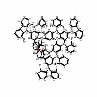 Fc1cccc(F)c1N1c2cc3c(cc2B2c4sc5ccccc5c4Oc4cc(-n5c6c(F)cccc6c6cccc(F)c65)cc1c42)B1c2cc4c(cc2N(c2c(F)cccc2F)c2cc(-n5c6ccccc6c6ccccc65)cc(c21)N3c1c(F)cccc1F)N(c1c(F)cccc1F)c1cc(-n2c3c(F)cccc3c3cccc(F)c32)cc2c1B4c1sc3ccccc3c1O2